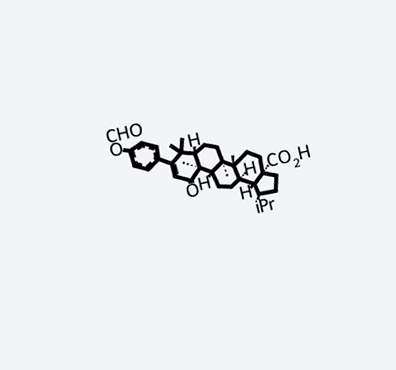 CC(C)[C@@H]1CC[C@]2(C(=O)O)CC[C@]3(C)[C@H](CC[C@@H]4[C@@]5(C)C(=O)C=C(c6ccc(OC=O)cc6)C(C)(C)[C@@H]5CC[C@]43C)[C@@H]12